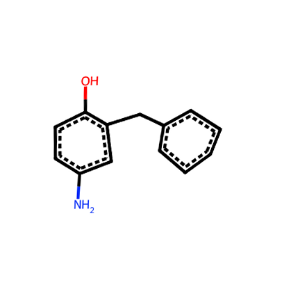 Nc1ccc(O)c(Cc2ccccc2)c1